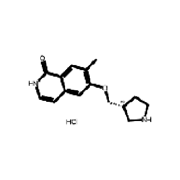 Cc1cc2c(=O)[nH]ccc2cc1OC[C@@H]1CCNC1.Cl